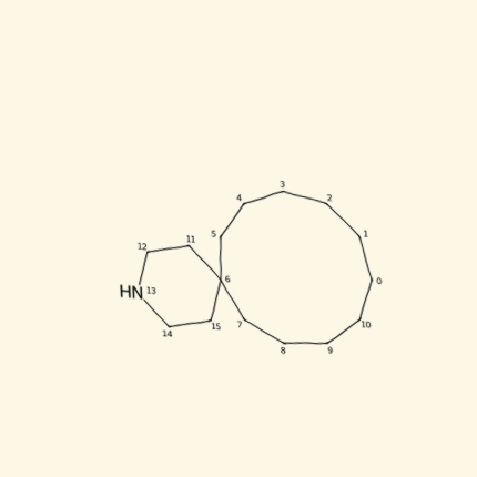 C1CCCCCC2(CCCC1)CCNCC2